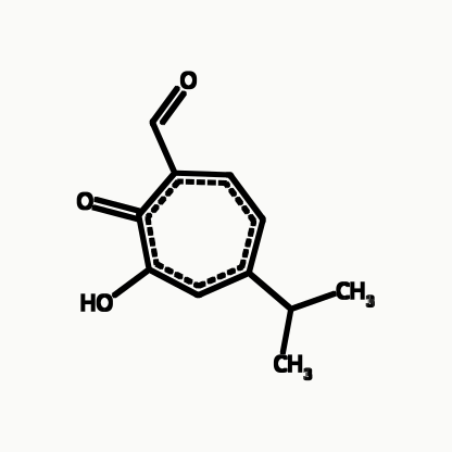 CC(C)c1ccc(C=O)c(=O)c(O)c1